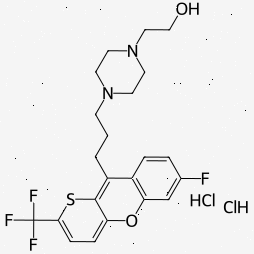 Cl.Cl.OCCN1CCN(CCCC2=C3SC(C(F)(F)F)=CC=C3Oc3cc(F)ccc32)CC1